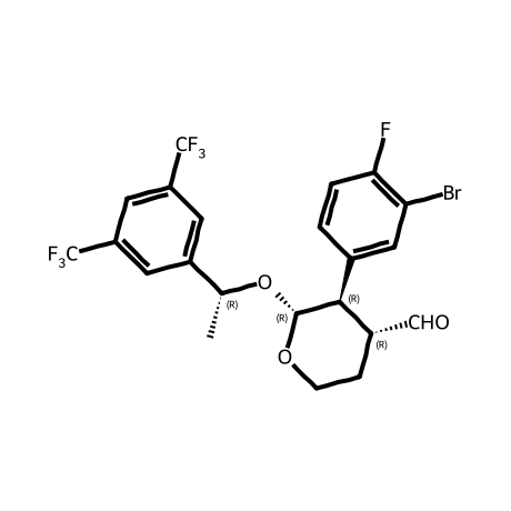 C[C@@H](O[C@H]1OCC[C@@H](C=O)[C@@H]1c1ccc(F)c(Br)c1)c1cc(C(F)(F)F)cc(C(F)(F)F)c1